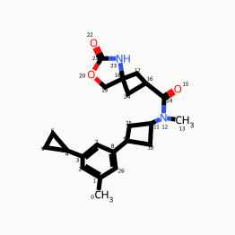 Cc1cc(C2CC2)cc(C2CC(N(C)C(=O)C3CC4(COC(=O)N4)C3)C2)c1